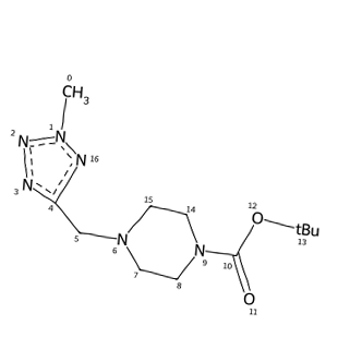 Cn1nnc(CN2CCN(C(=O)OC(C)(C)C)CC2)n1